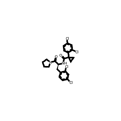 O=C([C@H](Cc1ccc(Cl)cc1Cl)NC(=O)C1(c2ccc(Cl)cc2Cl)CC1)N1CCCC1